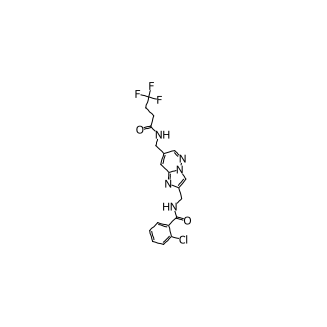 O=C(CCC(F)(F)F)NCc1cnn2cc(CNC(=O)c3ccccc3Cl)nc2c1